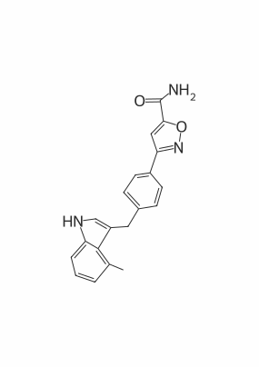 Cc1cccc2[nH]cc(Cc3ccc(-c4cc(C(N)=O)on4)cc3)c12